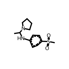 CC(Nc1ccc(S(C)(=O)=O)cc1)N1CCCC1